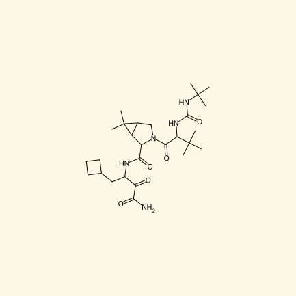 CC(C)(C)NC(=O)NC(C(=O)N1CC2C(C1C(=O)NC(CC1CCC1)C(=O)C(N)=O)C2(C)C)C(C)(C)C